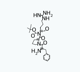 CC(C)(C)OC(=O)N(C(=O)[C@@H]1CCCN1C(=O)[C@H](N)Cc1ccccc1)[C@H](C=O)CCCNC(=N)N